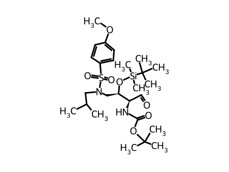 COc1ccc(S(=O)(=O)N(CC(C)C)C[C@@H](O[Si](C)(C)C(C)(C)C)[C@@H](C=O)NC(=O)OC(C)(C)C)cc1